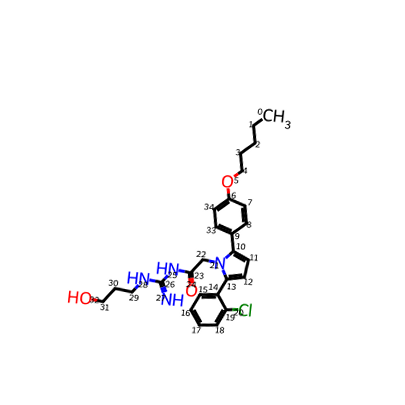 CCCCCOc1ccc(-c2ccc(-c3ccccc3Cl)n2CC(=O)NC(=N)NCCCO)cc1